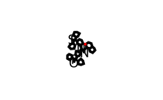 O=P(c1ccccc1)(c1ccccc1)c1ccc2c(c1)nc1c3c4ccccc4ccc3c3ccc(P(=S)(c4ccccc4)c4ccccc4)cc3n21